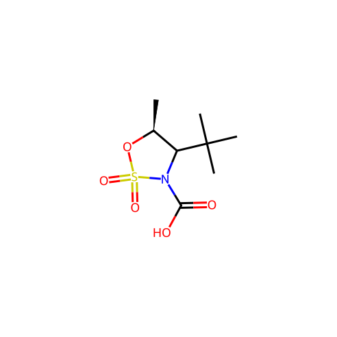 C[C@@H]1OS(=O)(=O)N(C(=O)O)C1C(C)(C)C